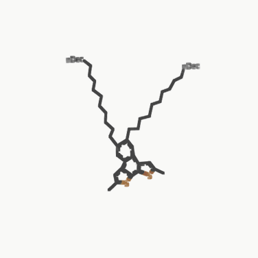 CCCCCCCCCCCCCCCCCCCCc1cc2c(cc1CCCCCCCCCCCCCCCCCCCC)c1cc(C)sc1c1sc(C)cc21